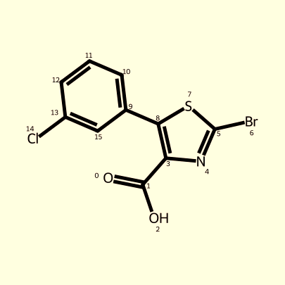 O=C(O)c1nc(Br)sc1-c1cccc(Cl)c1